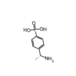 C[C@@H](N)c1ccc(P(=O)(O)O)cc1